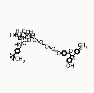 COc1ccc(-c2sc3cc(O)ccc3c2C(=O)c2ccc(OCCOCCOCCOCCOCC(=O)NC(C(=O)N3C[C@H](O)C[C@H]3C(=O)NCc3ccc(-c4scnc4C)cc3)C(C)(C)C)cc2)cc1